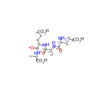 CC(NC(=O)C(CCC(=O)O)NC(=O)C(C)NC(=O)C(N)CCC(=O)O)C(=O)O